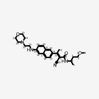 COCCC(C)NC(=O)/C(C#N)=C(\C)c1ccc2cc(NCCN3CCOCC3)ccc2c1